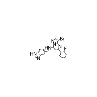 Fc1ccccc1-c1cc(NCc2ccc3[nH]cnc3c2)n2ncc(Br)c2n1